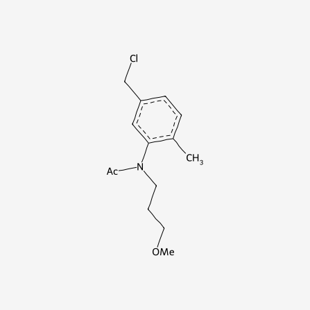 COCCCN(C(C)=O)c1cc(CCl)ccc1C